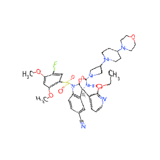 CCOc1ncccc1[C@]1(NC(=O)N2CC(N3CCC(N4CCOCC4)CC3)C2)C(=O)N(S(=O)(=O)c2cc(F)c(OC)cc2OC)c2ccc(C#N)cc21